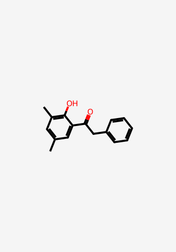 Cc1cc(C)c(O)c(C(=O)Cc2ccccc2)c1